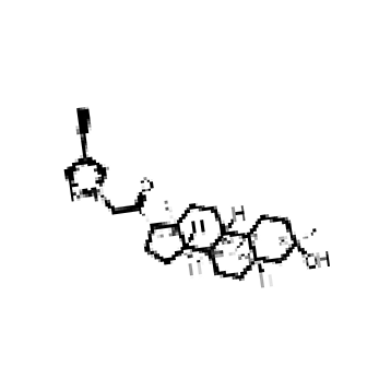 C#Cc1cnn(CC(=O)[C@H]2CC[C@H]3[C@@H]4CC[C@H]5C[C@](C)(O)CC[C@]5(C)[C@H]4CC[C@]23C)c1